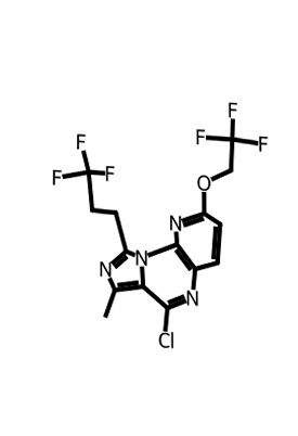 Cc1nc(CCC(F)(F)F)n2c1c(Cl)nc1ccc(OCC(F)(F)F)nc12